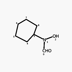 O=CN(O)C1CCCCC1